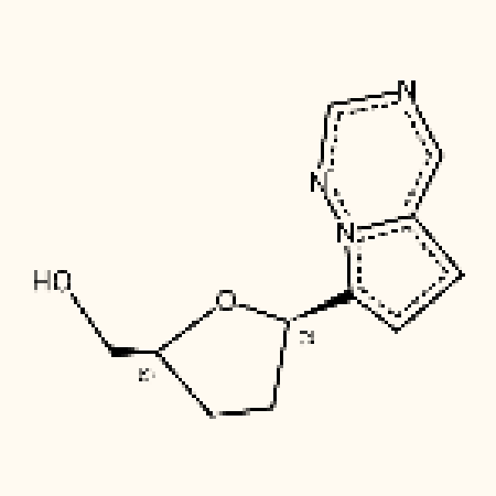 OC[C@@H]1CC[C@H](c2ccc3cncnn23)O1